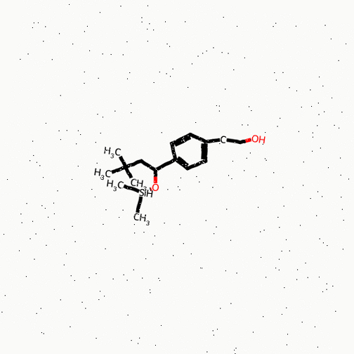 C[SiH](C)OC(CC(C)(C)C)c1ccc(CCO)cc1